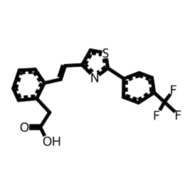 O=C(O)Cc1ccccc1C=Cc1csc(-c2ccc(C(F)(F)F)cc2)n1